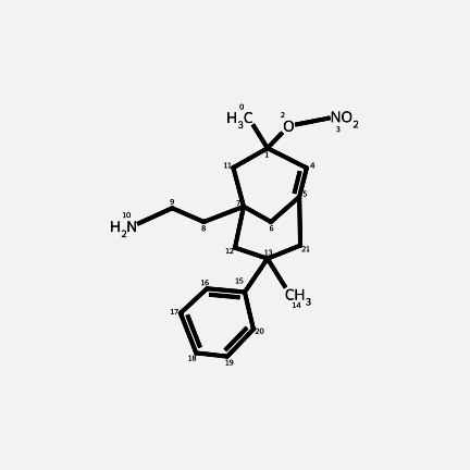 CC1(O[N+](=O)[O-])C=C2CC(CCN)(C1)CC(C)(c1ccccc1)C2